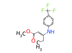 CCC(=CC(=O)OC)Nc1ccc(C(F)(F)F)cc1